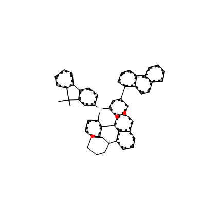 CC1(C)c2ccccc2-c2ccc(N(c3cccc(-c4cccc5c4ccc4ccccc45)c3)c3ccccc3-c3cccc4cccc(C5CCCCC5)c34)cc21